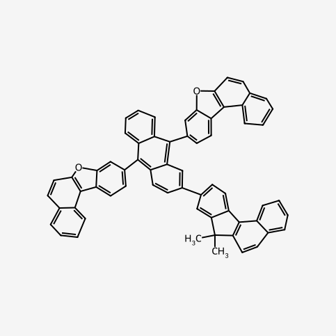 CC1(C)c2cc(-c3ccc4c(-c5ccc6c(c5)oc5ccc7ccccc7c56)c5ccccc5c(-c5ccc6c(c5)oc5ccc7ccccc7c56)c4c3)ccc2-c2c1ccc1ccccc21